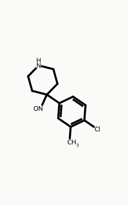 Cc1cc(C2(N=O)CCNCC2)ccc1Cl